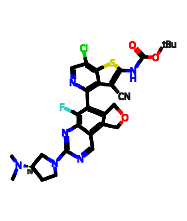 CN(C)[C@H]1CCN(c2ncc3c4c(c(-c5ncc(Cl)c6sc(NC(=O)OC(C)(C)C)c(C#N)c56)c(F)c3n2)COC4)C1